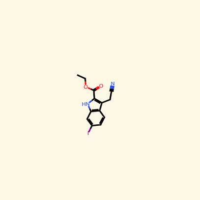 CCOC(=O)c1[nH]c2cc(I)ccc2c1CC#N